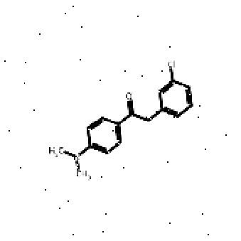 CN(C)c1ccc(C(=O)Cc2cccc(Cl)c2)cc1